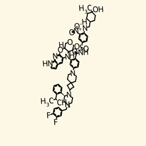 CC(C)c1ccccc1[C@@H]1CN(Cc2ccc(F)c(F)c2)CCN1C1CC2(CCN(c3ccc(C(=O)NS(=O)(=O)c4ccc(NCC5CCC(C)(O)CC5)c([N+](=O)[O-])c4)c(N4c5cc6cc[nH]c6nc5O[C@H]5COCC[C@@H]54)c3)CC2)C1